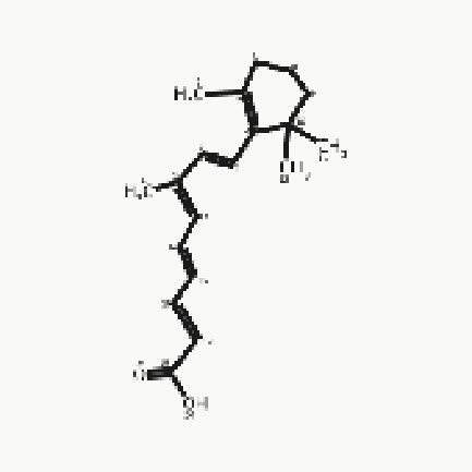 CC(C=CC1=C(C)CCCC1(C)C)=CC=CC=CC(=O)O